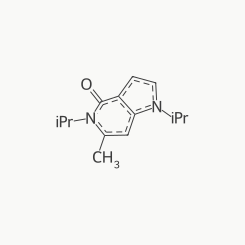 Cc1cc2c(ccn2C(C)C)c(=O)n1C(C)C